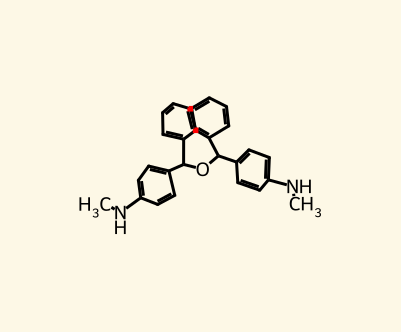 CNc1ccc(C(OC(c2ccccc2)c2ccc(NC)cc2)c2ccccc2)cc1